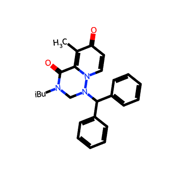 CCC(C)N1CN(C(c2ccccc2)c2ccccc2)n2ccc(=O)c(C)c2C1=O